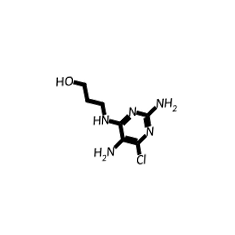 Nc1nc(Cl)c(N)c(NCCCO)n1